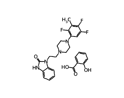 Cc1c(F)c(F)cc(N2CCN(CCn3c(=O)[nH]c4ccccc43)CC2)c1F.O=C(O)c1ccccc1O